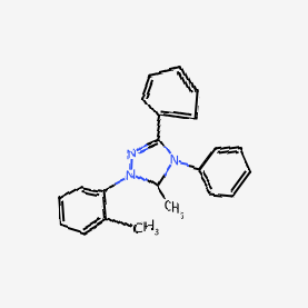 Cc1ccccc1N1N=C(c2ccccc2)N(c2ccccc2)C1C